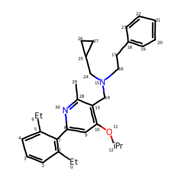 CCc1cccc(CC)c1-c1cc(OC(C)C)c(CN(CCc2ccccc2)CC2CC2)c(C)n1